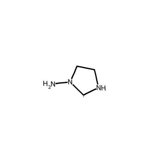 NN1[CH]NCC1